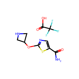 NC(=O)c1cnc(OC2CNC2)s1.O=C(O)C(F)(F)F